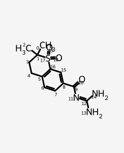 CC1(C)CCc2ccc(C(=O)N=C(N)N)cc2S1(=O)=O